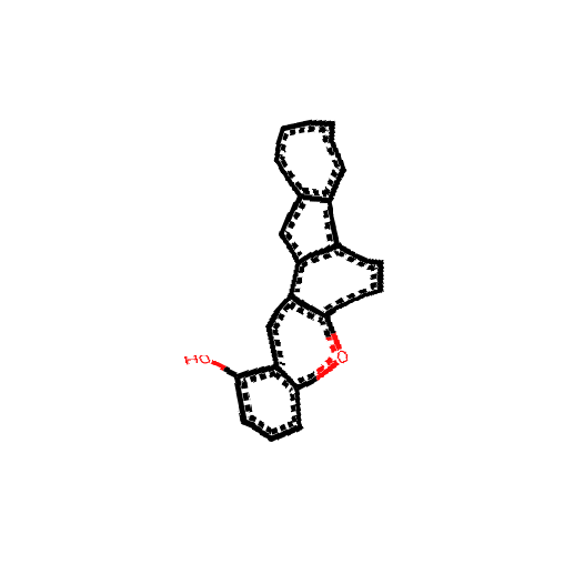 Oc1cccc2oc3ccc4c5ccccc5cc4c3cc12